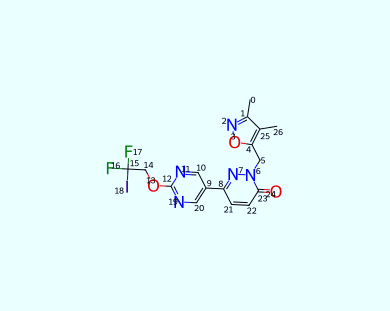 Cc1noc(Cn2nc(-c3cnc(OCC(F)(F)I)nc3)ccc2=O)c1C